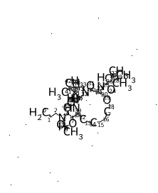 C=CCNC(=O)C(OC(C)=O)[C@@H]1CCCCCCCOC[C@H](NC(=O)OC(C)(C)C)C(=O)N2C[C@H]3[C@@H]([C@H]2C(=O)N1)C3(C)C